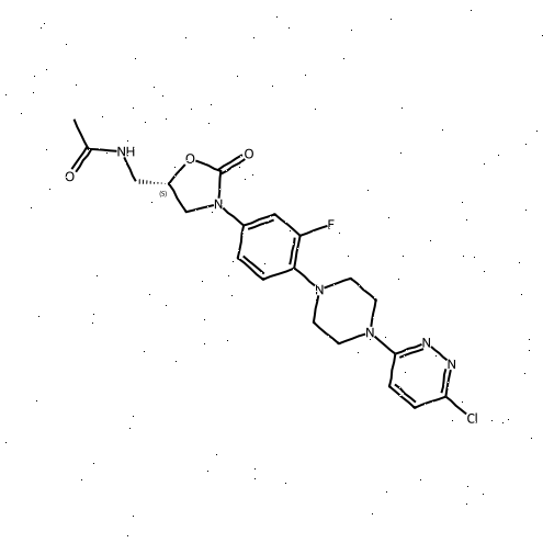 CC(=O)NC[C@H]1CN(c2ccc(N3CCN(c4ccc(Cl)nn4)CC3)c(F)c2)C(=O)O1